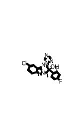 C[C@@H](n1nc2ccc(Cl)cc2c1N)[C@](O)(Cn1cncn1)c1ccc(F)cc1F